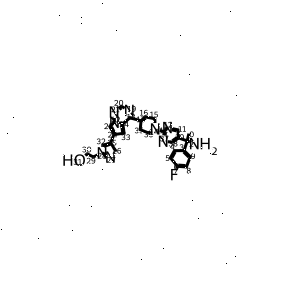 CC(N)(c1ccc(F)cc1)c1cnc(N2CC=C(c3ncnn4cc(-c5cnn(CCO)c5)cc34)CC2)nc1